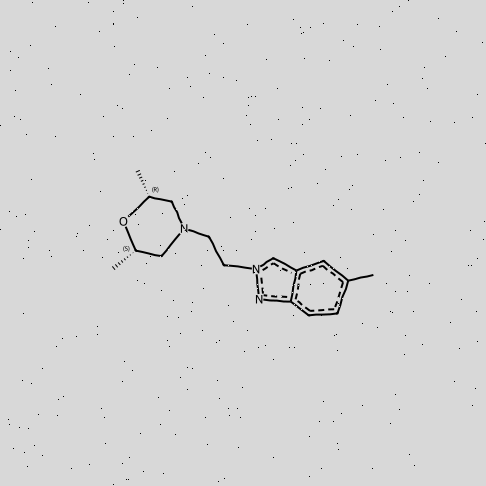 Cc1ccc2nn(CCN3C[C@@H](C)O[C@@H](C)C3)cc2c1